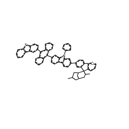 CC1CC2CC(C)C3(c4ccccc4-c4ccc(-c5ccc6c7ccc(-c8c9ccccc9c(-c9ccc%10sc%11ccccc%11c%10c9)c9ccccc89)cc7n(-c7ccccc7)c6c5)cc43)C(C1)C2